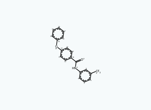 O=C(Nc1cccc(C(F)(F)F)c1)c1ccc(Oc2ccccc2)cc1